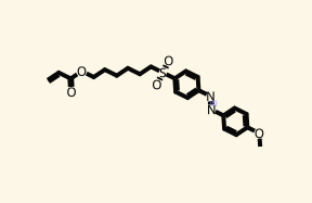 C=CC(=O)OCCCCCCS(=O)(=O)c1ccc(/N=N/c2ccc(OC)cc2)cc1